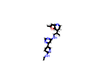 CCNc1ccc(-c2cc(NCC(C)c3ccnc4cc(C)oc34)ncn2)cn1